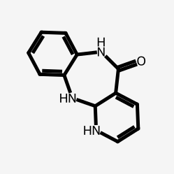 O=C1Nc2ccccc2NC2NC=CC=C12